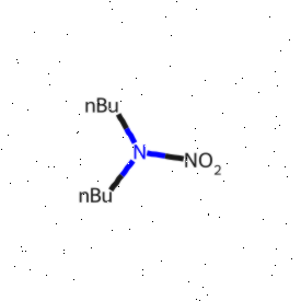 CCCCN(CCCC)[N+](=O)[O-]